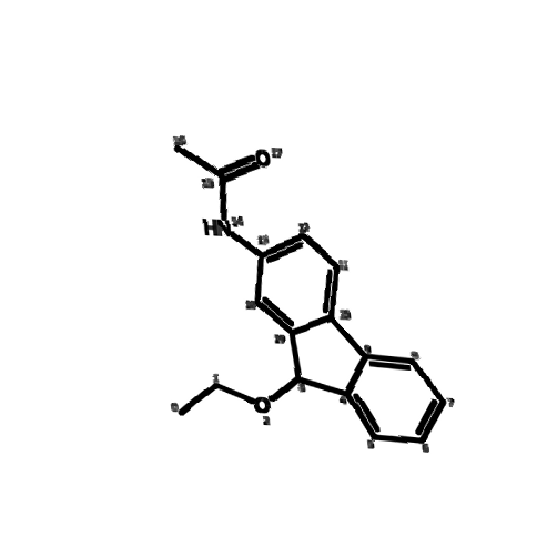 CCOC1c2ccccc2-c2ccc(NC(C)=O)cc21